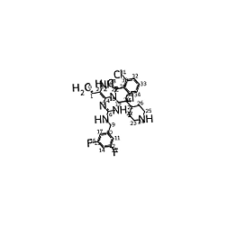 C=C/C(N)=C(\N=C(/N)NCc1cc(F)cc(F)c1)N(CCC1CCNCC1)C(=C)c1c(Cl)cccc1Cl